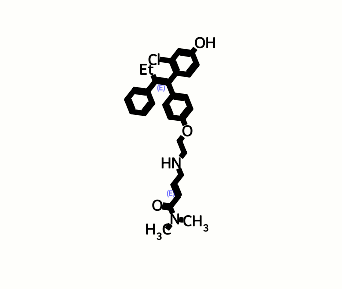 CC/C(=C(/c1ccc(OCCNC/C=C/C(=O)N(C)C)cc1)c1ccc(O)cc1Cl)c1ccccc1